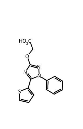 O=C(O)COc1nc(-c2cccs2)n(-c2ccccc2)n1